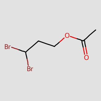 CC(=O)OCCC(Br)Br